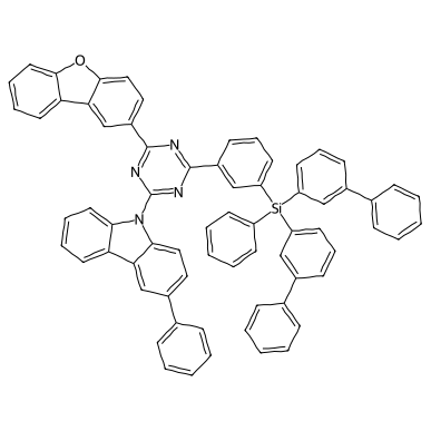 c1ccc(-c2cccc([Si](c3ccccc3)(c3cccc(-c4ccccc4)c3)c3cccc(-c4nc(-c5ccc6oc7ccccc7c6c5)nc(-n5c6ccccc6c6cc(-c7ccccc7)ccc65)n4)c3)c2)cc1